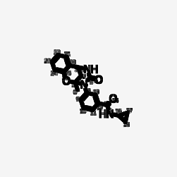 CC12CC(NC(=O)N1c1cccc(C(=O)NC3CC3)c1)c1ccccc1O2